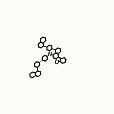 c1ccc(-c2ccc(-c3cccc4ccccc34)cc2N(c2ccc(-c3cccc(-c4cccc5ccccc45)c3)cc2)c2ccc3c(c2)oc2ccccc23)cc1